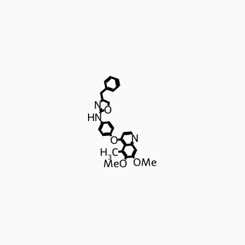 COc1cc2nccc(Oc3ccc(NC4=NC(Cc5cc#ccc5)CO4)cc3)c2c(C)c1OC